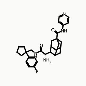 N[C@H](C(=O)NCC1(c2ccc(F)cc2)CCCC1)C1C2CC3CC1CC(C(=O)Nc1ccncc1)(C3)C2